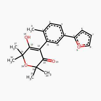 Cc1ccc(-c2ccco2)cc1C1=C(O)C(C)(C)OC(C)(C)C1=O